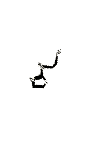 CCCCCNc1nccs1